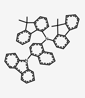 CC1(C)c2ccccc2-c2c(N(c3cccc4c3C(C)(C)c3ccccc3-4)c3ccc(-n4c5ccccc5c5ccccc54)c4ccccc34)cccc21